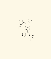 CC(C)n1nccc1C(=O)N[C@H](c1cn2nc(CC3C[C@@H](C(F)(F)F)CNC3=O)c(N3CCOCC3)nc2n1)C1CCC(F)(F)CC1